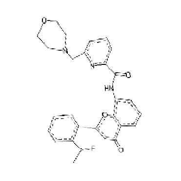 CC(F)c1ccccc1-c1cc(=O)c2cccc(NC(=O)c3cccc(CN4CCOCC4)n3)c2o1